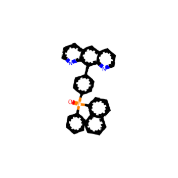 O=P(c1ccccc1)(c1ccc(-c2c3ncccc3cc3cccnc23)cc1)c1cccc2ccccc12